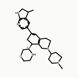 CC1CNc2ncc(C3=CC4=C(CN(C5CCN(C)CC5)CC4)C([C@@H]4COCCN4)C3)cc21